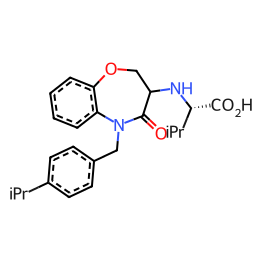 CC(C)c1ccc(CN2C(=O)C(N[C@H](C(=O)O)C(C)C)COc3ccccc32)cc1